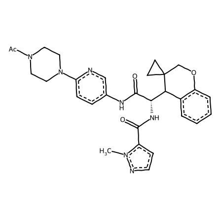 CC(=O)N1CCN(c2ccc(NC(=O)[C@@H](NC(=O)c3ccnn3C)C3c4ccccc4OCC34CC4)cn2)CC1